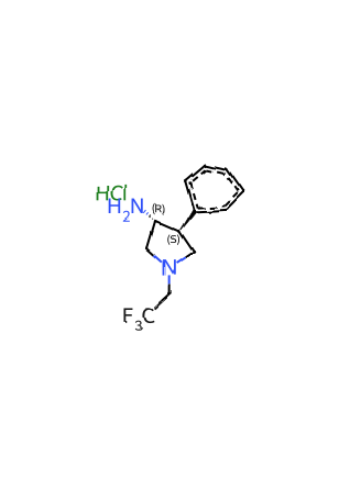 Cl.N[C@H]1CN(CC(F)(F)F)C[C@@H]1c1ccccc1